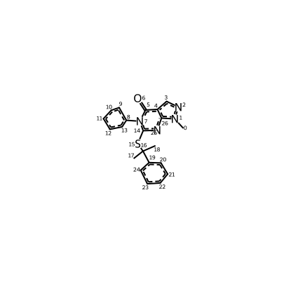 Cn1ncc2c(=O)n(-c3ccccc3)c(SC(C)(C)c3ccccc3)nc21